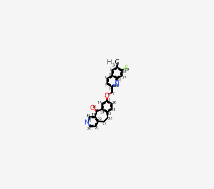 Cc1cc2ccc(COc3ccc4c(c3)C(=O)c3cnccc3CC4)nc2cc1F